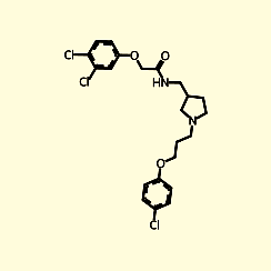 O=C(COc1ccc(Cl)c(Cl)c1)NCC1CCN(CCCOc2ccc(Cl)cc2)C1